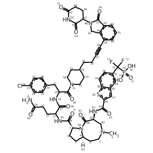 CN1CC[C@H]2CC[C@@H](C(=O)NC(CCC(N)=O)C(=O)NC(Cc3ccc(Cl)cc3)C(=O)N3CCC(CCC#Cc4cccc5c4CN(C4CCC(=O)NC4=O)C5=O)CC3)N2C(=O)[C@@H](NC(=O)c2cc3cc(C(F)(F)P(=O)(O)O)ccc3s2)C1